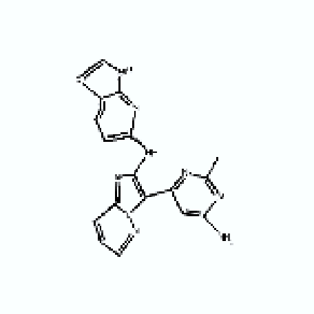 Cc1nc(N)cc(-c2c(Nc3ccc4nc[nH]c4n3)nc3cccnn23)n1